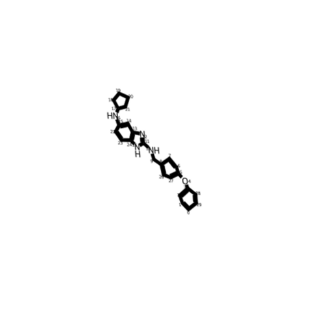 c1ccc(Oc2ccc(CNc3nc4cc(NC5CCCC5)ccc4[nH]3)cc2)cc1